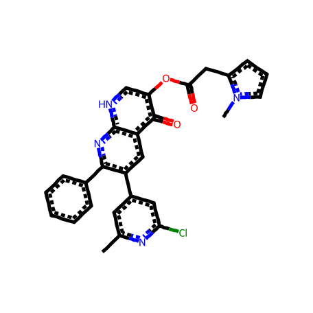 Cc1cc(-c2cc3c(=O)c(OC(=O)Cc4cccn4C)c[nH]c3nc2-c2ccccc2)cc(Cl)n1